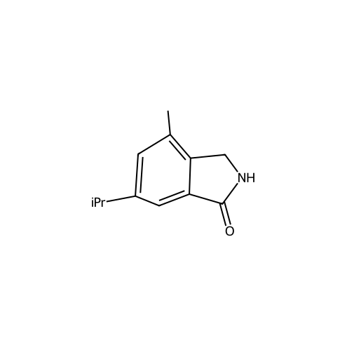 Cc1cc(C(C)C)cc2c1CNC2=O